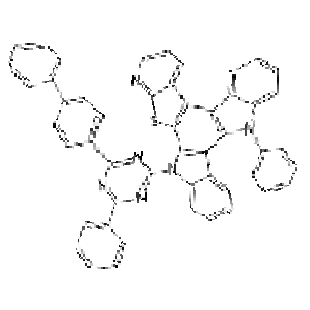 c1ccc(-c2ccc(-c3nc(-c4ccccc4)nc(-n4c5ccccc5c5c4c4sc6ncccc6c4c4c6ccccc6n(-c6ccccc6)c45)n3)cc2)cc1